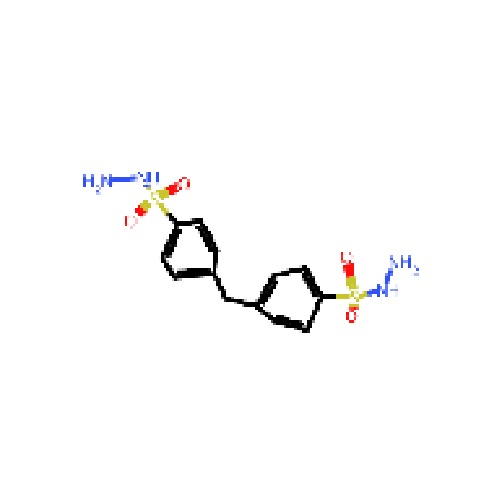 NNS(=O)(=O)c1ccc(Cc2ccc(S(=O)(=O)NN)cc2)cc1